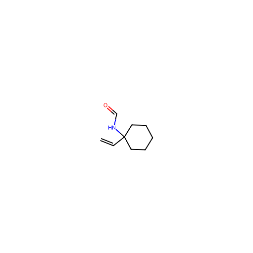 C=CC1(NC=O)CCCCC1